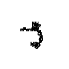 CCCCCNc1nc(N)nc2ccn(Cc3ccc(CN4CCN(CCO[PH](=O)O)CC4)cc3C)c12